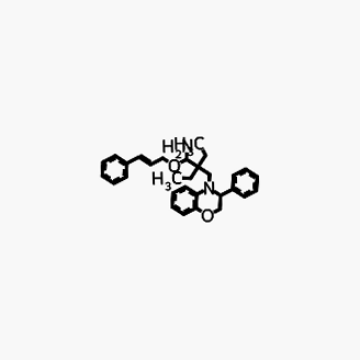 CCC(CC)(CN1c2ccccc2OCC1c1ccccc1)C(N)OCC=Cc1ccccc1